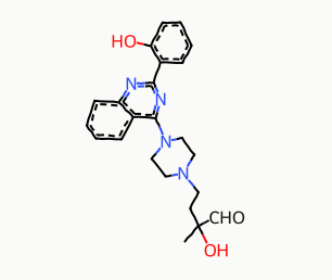 CC(O)(C=O)CCN1CCN(c2nc(-c3ccccc3O)nc3ccccc23)CC1